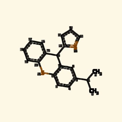 CC(C)c1ccc2c(c1)C(c1cccs1)c1ccccc1S2